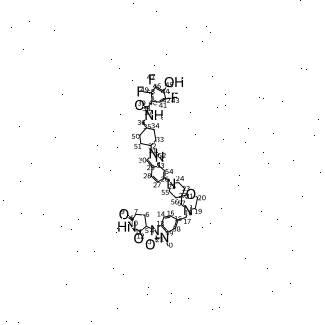 Cn1c(=O)n(C2CCC(=O)NC2=O)c2ccc(CN3CCOC4(CCN(c5ccc6cn([C@H]7CC[C@H](CNC(=O)c8cc(F)c(O)c(F)c8F)CC7)nc6c5)CC4)C3)cc21